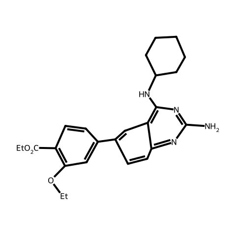 CCOC(=O)c1ccc(-c2ccc3nc(N)nc(NC4CCCCC4)c3c2)cc1OCC